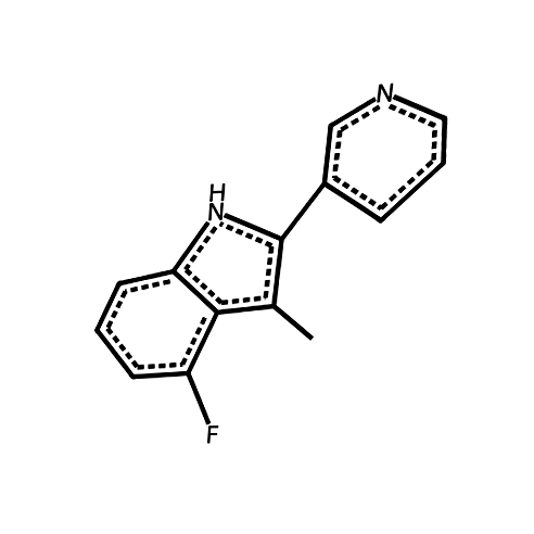 Cc1c(-c2cccnc2)[nH]c2cccc(F)c12